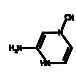 N#CN1C=CNC(N)=C1